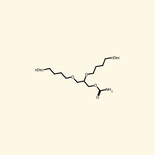 CCCCCCCCCCCCCCOCC(COC(N)=O)OCCCCCCCCCCCCCC